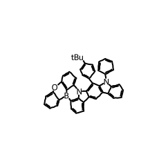 CC(C)(C)c1ccc(-c2c3c(cc4c5cccc6c5n(c24)-c2cccc4c2B6c2ccccc2O4)c2ccccc2n3-c2ccccc2)cc1